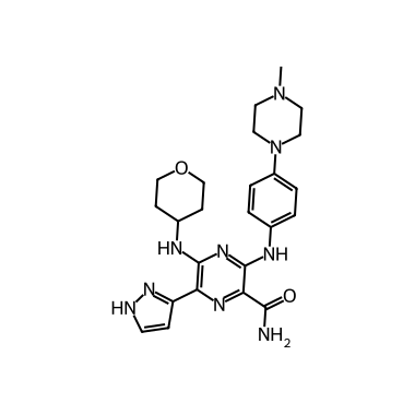 CN1CCN(c2ccc(Nc3nc(NC4CCOCC4)c(-c4cc[nH]n4)nc3C(N)=O)cc2)CC1